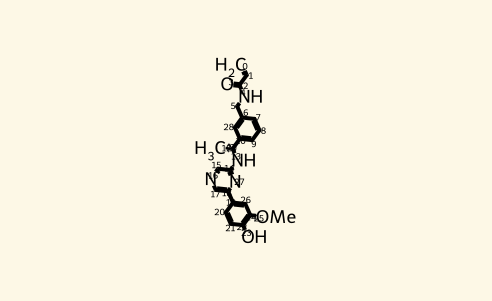 C=CC(=O)NCc1cccc([C@H](C)Nc2cncc(-c3ccc(O)c(OC)c3)n2)c1